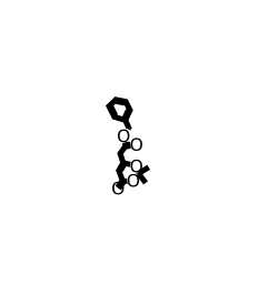 CC1(C)OC(=O)C=C(CC(=O)OCc2ccccc2)O1